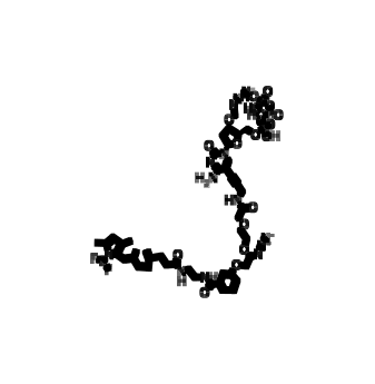 C=C(/C=C\C(C)=C\c1c(C)cc(C)n1B(F)F)CCC(=O)NCCNC(=O)c1cccc(OCC(N=[N+]=[N-])OCCOCC(=O)NCC#Cc2cn([C@H]3C[C@@H](OCN=[N+]=[N-])[C@@H](COP(=O)(O)OP(=O)(O)OP(=O)(O)O)O3)c(=O)nc2N)c1